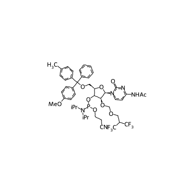 COc1ccc(C(OC[C@H]2O[C@@H](n3ccc(NC(C)=O)nc3=O)[C@@H](OCOCC(C(F)(F)F)C(F)(F)F)C2OP(OCCC#N)N(C(C)C)C(C)C)(c2ccccc2)c2ccc(C)cc2)cc1